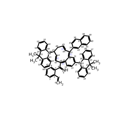 C=Cc1ccccc1C(=N)C1=c2\ccc(N3c4ccccc4C(C)(C)c4ccccc43)c\c2=C(c2ccc3ccccc3c2)\C=C\CC(N2c3ccccc3C(C)(C)c3ccccc32)\C=C\1